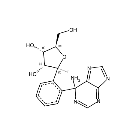 C[C@@]1(c2ccccc2C2(N)N=CN=C3N=CN=C32)O[C@H](CO)[C@@H](O)[C@H]1O